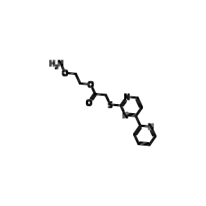 NOCCOC(=O)CSc1nccc(-c2ccccn2)n1